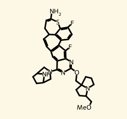 COCC1CCC2(COc3nc(N4CC5CCC(C4)N5)c4cc5c(c(F)c4n3)-c3ccc(F)c4c3C(C=C5)CC=C(N)S4)CCCN12